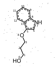 OCCCOc1c[nH]c2ccccc12